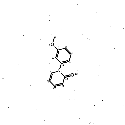 COc1cccc(-n2ccccc2=O)c1